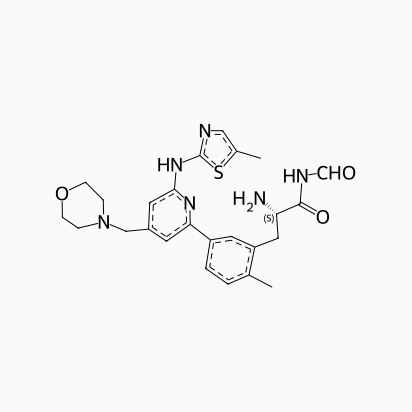 Cc1cnc(Nc2cc(CN3CCOCC3)cc(-c3ccc(C)c(C[C@H](N)C(=O)NC=O)c3)n2)s1